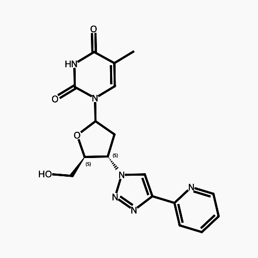 Cc1cn(C2C[C@H](n3cc(-c4ccccn4)nn3)[C@@H](CO)O2)c(=O)[nH]c1=O